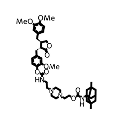 COc1ccc(C[C@H]2COC(=O)[C@@H]2Cc2ccc(OC(=O)NCCN3CCN(CCOC(=O)NC45CC6CC(C)(CC(C)(C6)C4)C5)CC3)c(OC)c2)cc1OC